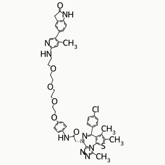 Cc1cc(NCCOCCOCCOCCOc2ccc(NC(=O)C[C@@H]3N=C(c4ccc(Cl)cc4)c4c(sc(C)c4C)-n4c(C)nnc43)cc2)ncc1-c1ccc2c(c1)CC(=O)N2